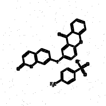 O=S(=O)([O-])c1ccc(C(F)(F)F)cc1.O=c1ccc2ccc([I+]c3ccc4oc5ccccc5c(=O)c4c3)cc2o1